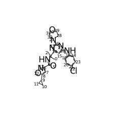 CC(C)(NC(=O)c1cc(C2CC2)on1)c1cc(Nc2ccc(Cl)cc2)nc(N2CCOCC2)n1